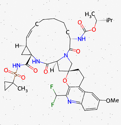 COc1ccc2nc(C(F)F)c3c(c2c1)CC[C@]1(C[C@H]2C(=O)N[C@]4(C(=O)NS(=O)(=O)C5(C)CC5)C[C@H]4/C=C\CCCCC[C@H](NC(=O)O[C@H](C)C(C)C)C(=O)N2C1)O3